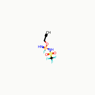 C#CCOP(=N)(F)NS(=O)(=O)C(F)(F)F